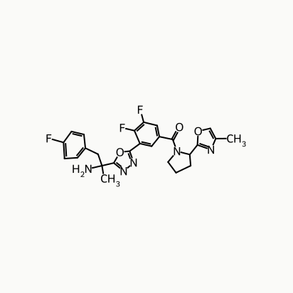 Cc1coc(C2CCCN2C(=O)c2cc(F)c(F)c(-c3nnc(C(C)(N)Cc4ccc(F)cc4)o3)c2)n1